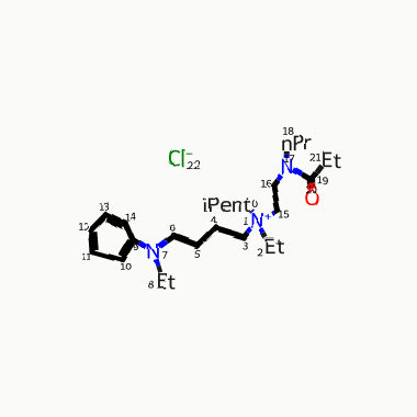 CCCC(C)[N+](CC)(CCCCN(CC)c1ccccc1)CCN(CCC)C(=O)CC.[Cl-]